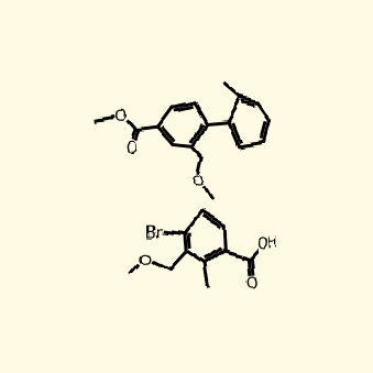 COCc1c(Br)ccc(C(=O)O)c1C.COCc1cc(C(=O)OC)ccc1-c1ccccc1C